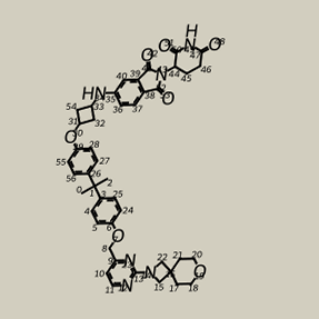 CC(C)(c1ccc(OCc2ccnc(N3CC4(CCOCC4)C3)n2)cc1)c1ccc(OC2CC(Nc3ccc4c(c3)C(=O)N(C3CCC(=O)NC3=O)C4=O)C2)cc1